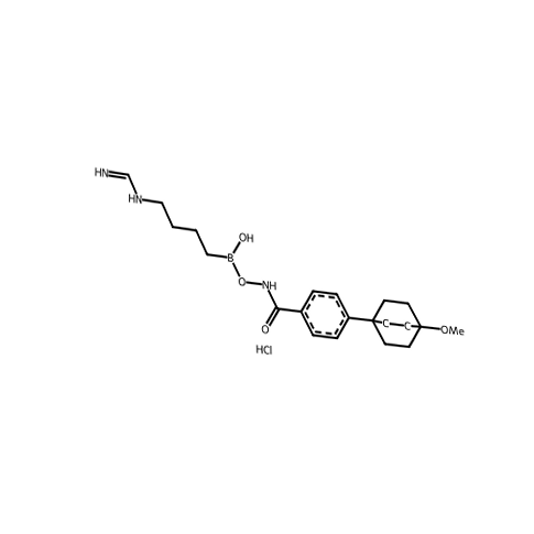 COC12CCC(c3ccc(C(=O)NOB(O)CCCCNC=N)cc3)(CC1)CC2.Cl